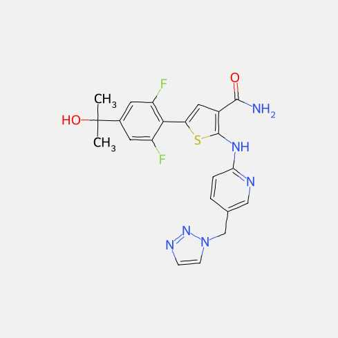 CC(C)(O)c1cc(F)c(-c2cc(C(N)=O)c(Nc3ccc(Cn4ccnn4)cn3)s2)c(F)c1